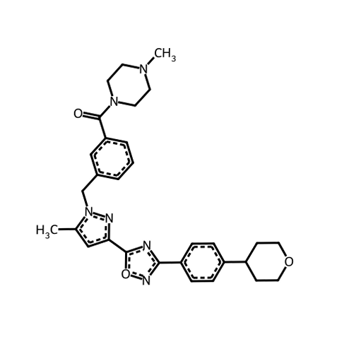 Cc1cc(-c2nc(-c3ccc(C4CCOCC4)cc3)no2)nn1Cc1cccc(C(=O)N2CCN(C)CC2)c1